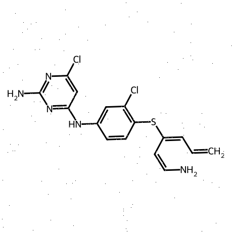 C=C/C=C(\C=C/N)Sc1ccc(Nc2cc(Cl)nc(N)n2)cc1Cl